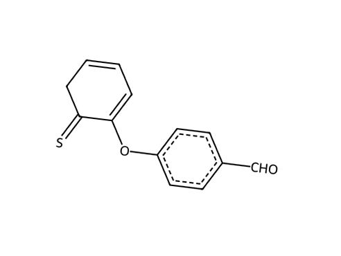 O=Cc1ccc(OC2=CC=CCC2=S)cc1